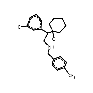 OC1(C(CNCc2ccc(C(F)(F)F)cc2)c2cccc(Cl)c2)CCCCC1